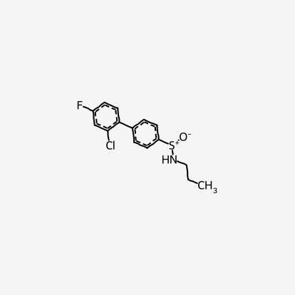 CCCN[S+]([O-])c1ccc(-c2ccc(F)cc2Cl)cc1